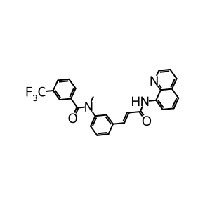 CN(C(=O)c1cccc(C(F)(F)F)c1)c1cccc(/C=C/C(=O)Nc2cccc3cccnc23)c1